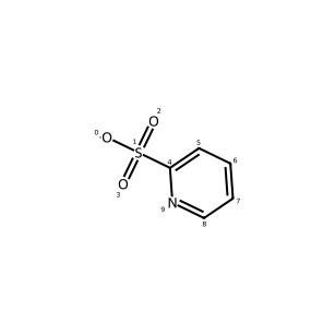 [O]S(=O)(=O)c1ccccn1